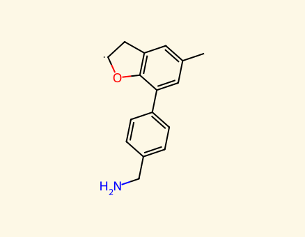 Cc1cc2c(c(-c3ccc(CN)cc3)c1)O[CH]C2